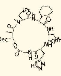 CCCCCCCCCC[C@H]1OC(=O)CNC(=O)[C@H](Cc2c[nH]nn2)NC(=O)[C@H](CN)NC(=O)[C@H](C2CCCCC2)NC(=O)[C@H](CC(C)C)N(C)C(=O)[C@@H]1C